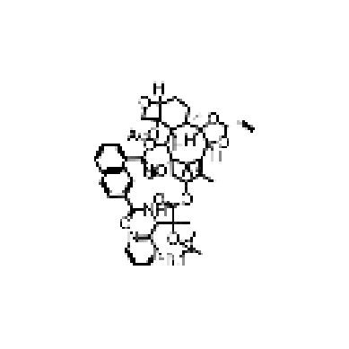 C=C[C@@H]1O[C@@H]2C3=C(C)[C@@H](OC(=O)[C@](C)(O[Si](C)(C)C(C)(C)C)[C@@H](NC(=O)c4ccccc4)c4ncccn4)C[C@@](O)([C@@H](OC(=O)c4ccccc4)[C@H]4[C@@](C)(CC[C@H]5OC[C@]54OC(C)=O)[C@@H]2O1)C3(C)C